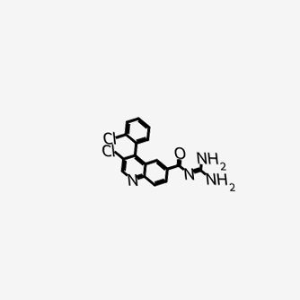 NC(N)=NC(=O)c1ccc2ncc(Cl)c(-c3ccccc3Cl)c2c1